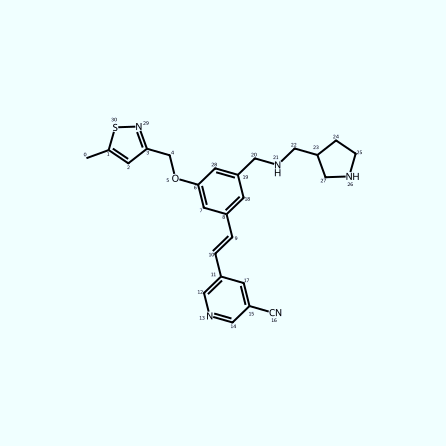 Cc1cc(COc2cc(/C=C/c3cncc(C#N)c3)cc(CNCC3CCNC3)c2)ns1